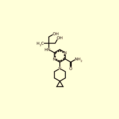 CC(CO)(CO)Nc1cnc(C(N)=O)c(N2CCC3(CC2)CC3)n1